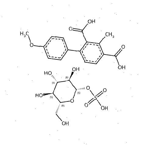 COc1ccc(-c2ccc(C(=O)O)c(C)c2C(=O)O)cc1.O=S(=O)(O)O[C@@H]1O[C@H](CO)[C@@H](O)[C@H](O)[C@H]1O